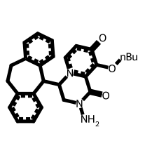 CCCCOc1c2n(ccc1=O)C(C1c3ccccc3CCc3ccccc31)CN(N)C2=O